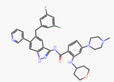 CN1CCN(c2ccc(C(=O)Nc3n[nH]c4cc(-c5cccnc5)c(Cc5cc(F)cc(F)c5)cc34)c(NC3CCOCC3)c2)CC1